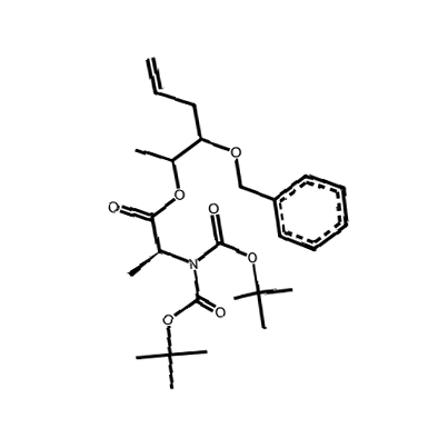 C=CCC(OCc1ccccc1)C(C)OC(=O)[C@H](C)N(C(=O)OC(C)(C)C)C(=O)OC(C)(C)C